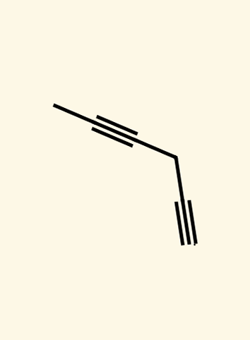 [C]#CCC#CC